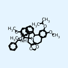 COc1ccc(CC2c3cc(OC(C)C)c(OC)cc3CCCN2C(CC2=COCO2)(C(=O)NCc2ccccc2)c2ccccc2)cc1OC